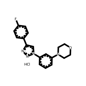 Cl.Fc1ccc(-c2cn(-c3cccc(N4CCOCC4)c3)nn2)cc1